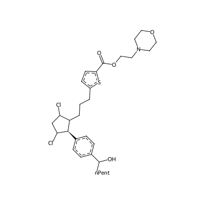 CCCCCC(O)c1ccc([C@H]2C(Cl)CC(Cl)C2CCCc2ccc(C(=O)OCCN3CCOCC3)s2)cc1